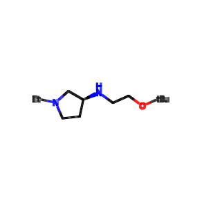 CCN1CC[C@H](NCCOC(C)(C)C)C1